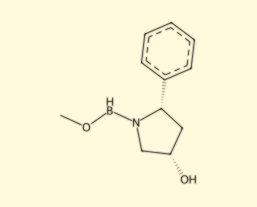 COBN1C[C@@H](O)C[C@H]1c1ccccc1